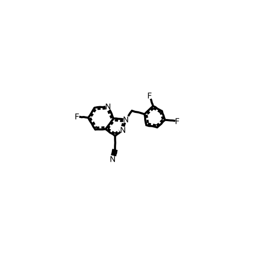 N#Cc1nn(Cc2ccc(F)cc2F)c2ncc(F)cc12